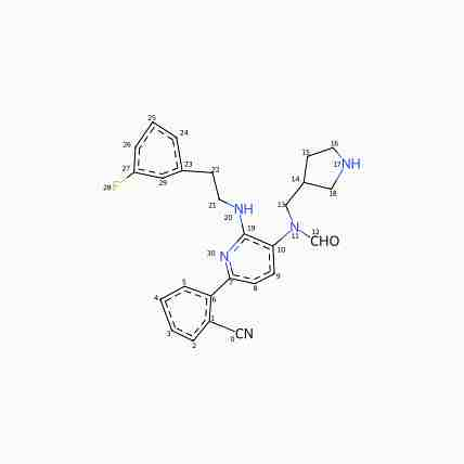 N#Cc1ccccc1-c1ccc(N(C=O)CC2CCNC2)c(NCCc2cccc(F)c2)n1